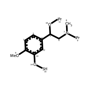 COc1ccc(C(CN(C)C(C)C)OC(C)C)cc1OS